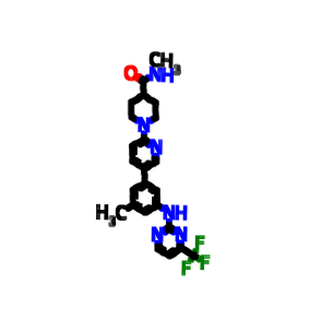 CNC(=O)C1CCN(c2ccc(-c3cc(C)cc(Nc4nccc(C(F)(F)F)n4)c3)cn2)CC1